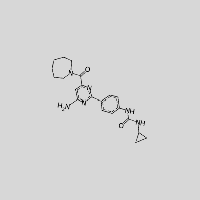 Nc1cc(C(=O)N2CCCCCC2)nc(-c2ccc(NC(=O)NC3CC3)cc2)n1